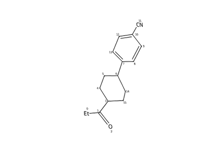 CCC(=O)C1CCC(c2ccc(C#N)cc2)CC1